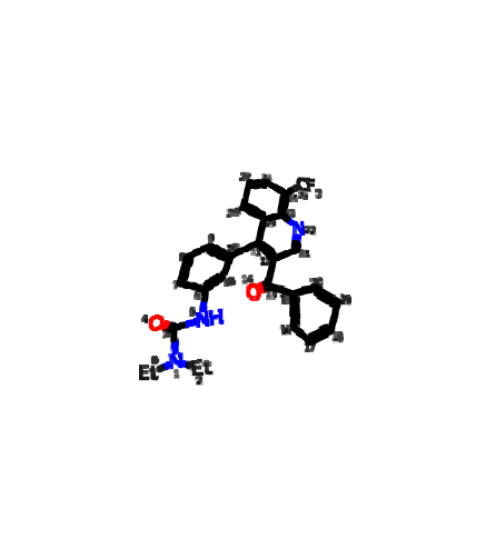 CCN(CC)C(=O)Nc1cccc(-c2c(C(=O)c3ccccc3)cnc3c(C(F)(F)F)cccc23)c1